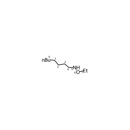 CCCCCCCCNOCC